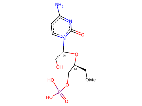 COC[C@@H](COP(=O)(O)O)O[C@H](CO)n1ccc(N)nc1=O